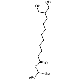 CCCCC(CCCC)OC(=O)CCCCCCCCC(CO)CO